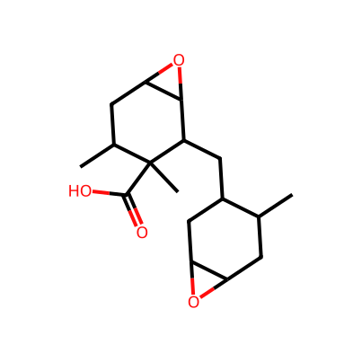 CC1CC2OC2CC1CC1C2OC2CC(C)C1(C)C(=O)O